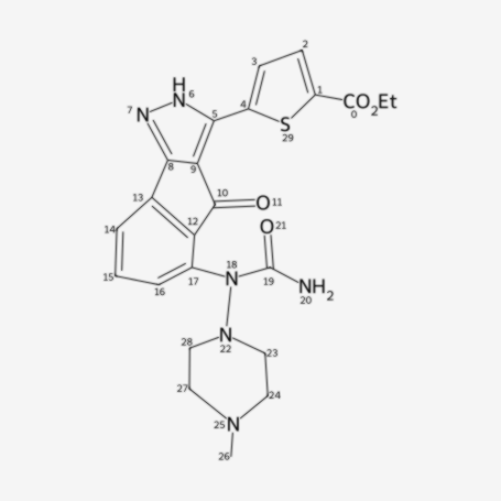 CCOC(=O)c1ccc(-c2[nH]nc3c2C(=O)c2c-3cccc2N(C(N)=O)N2CCN(C)CC2)s1